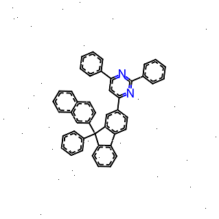 c1ccc(-c2cc(-c3ccc4c(c3)C(c3ccccc3)(c3ccc5ccccc5c3)c3ccccc3-4)nc(-c3ccccc3)n2)cc1